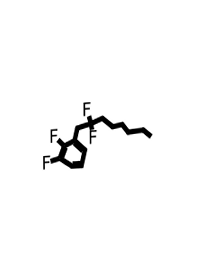 CCCCCCC(F)(F)Cc1cccc(F)c1F